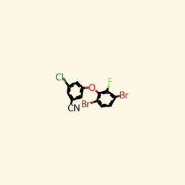 N#Cc1cc(Cl)cc(Oc2c(Br)ccc(Br)c2F)c1